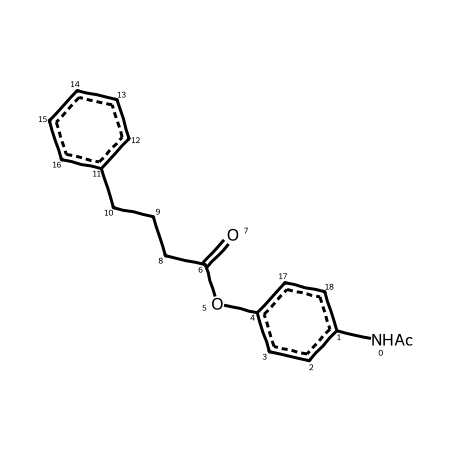 CC(=O)Nc1ccc(OC(=O)CCCc2ccccc2)cc1